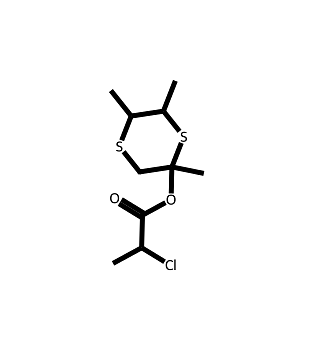 CC(Cl)C(=O)OC1(C)CSC(C)C(C)S1